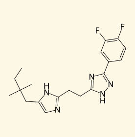 CCC(C)(C)Cc1cnc(CCc2nc(-c3ccc(F)c(F)c3)n[nH]2)[nH]1